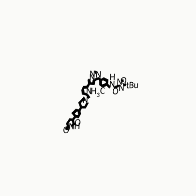 Cc1cc(-c2ncnn3cc(-c4cccc(CN5CCC(c6ccc(C7CCC(=O)NC7=O)cc6)CC5)n4)cc23)ccc1CNC(=O)c1noc(C(C)(C)C)n1